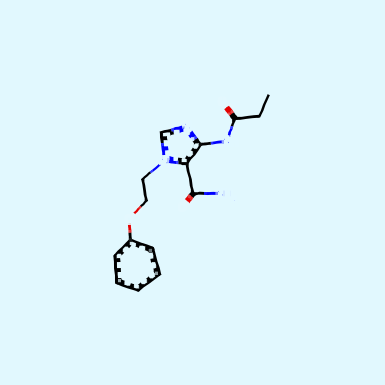 CCC(=O)Nc1ncn(CCOc2ccccc2)c1C(N)=O